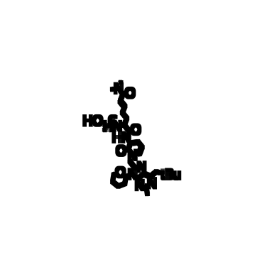 Cc1nc(CC(C)(C)C)c2nc(Cn3cccc(NC(=O)C(CC/C=C/C(=O)N(C)C)NC(=O)O)c3=O)n(C3CCCCO3)c2n1